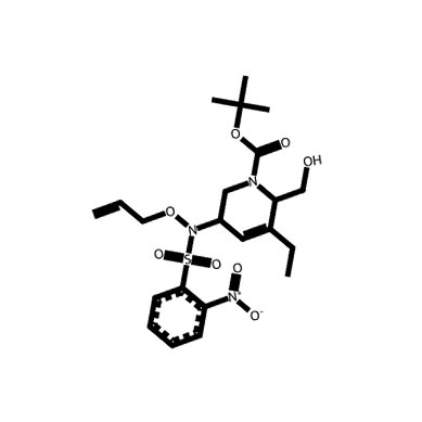 C=CCON(C1C=C(CC)C(CO)N(C(=O)OC(C)(C)C)C1)S(=O)(=O)c1ccccc1[N+](=O)[O-]